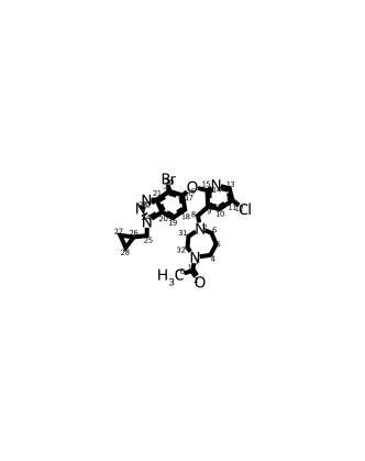 CC(=O)N1CCCN(Cc2cc(Cl)cnc2Oc2ccc3c(nnn3CC3CC3)c2Br)CC1